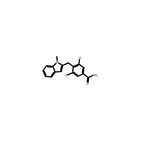 Cn1c(Cc2c(Cl)cc(C(N)=O)cc2Cl)cc2ccccc21